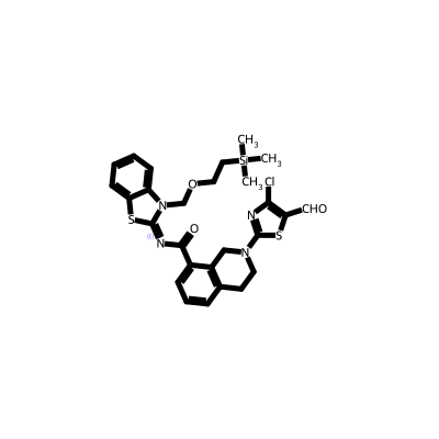 C[Si](C)(C)CCOCn1/c(=N\C(=O)c2cccc3c2CN(c2nc(Cl)c(C=O)s2)CC3)sc2ccccc21